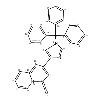 O=c1cc(-c2cn(C(c3ccccc3)(c3ccccc3)c3ccccc3)cn2)nc2ccccn12